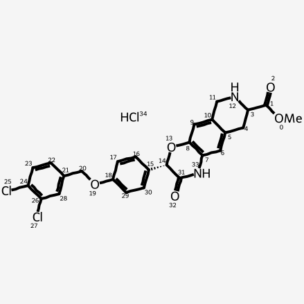 COC(=O)C1Cc2cc3c(cc2CN1)O[C@@H](c1ccc(OCc2ccc(Cl)c(Cl)c2)cc1)C(=O)N3.Cl